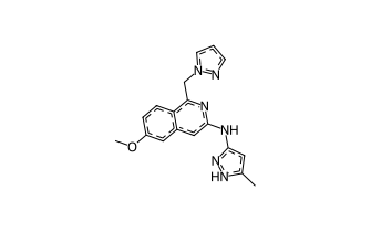 COc1ccc2c(Cn3cccn3)nc(Nc3cc(C)[nH]n3)cc2c1